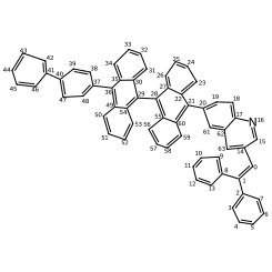 C(=C(c1ccccc1)c1ccccc1)c1cnc2ccc(-c3c4ccccc4c(-c4c5ccccc5c(-c5ccc(-c6ccccc6)cc5)c5ccccc45)c4ccccc34)cc2c1